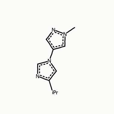 CC(C)c1cn(-c2cnn(C)c2)cn1